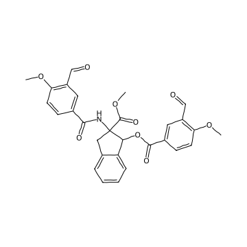 COC(=O)C1(NC(=O)c2ccc(OC)c(C=O)c2)Cc2ccccc2C1OC(=O)c1ccc(OC)c(C=O)c1